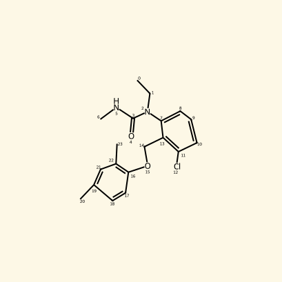 CCN(C(=O)NC)c1cccc(Cl)c1COc1ccc(C)cc1C